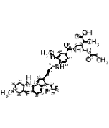 CCC(=O)OCC(CNC(=O)c1ccc(NCC#Cc2cc3c(N[C@@H]4CCN(C)C[C@@H]4F)cccc3n2CC(F)(F)F)c(OC)c1)C(C)C(=O)O